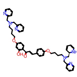 O=C(/C=C/c1ccc(OCCCCN(Cc2ccccn2)C[C@H]2C=CC=CN2)cc1)c1ccc(OCCCCN(Cc2ccccn2)Cc2ccccn2)cc1O